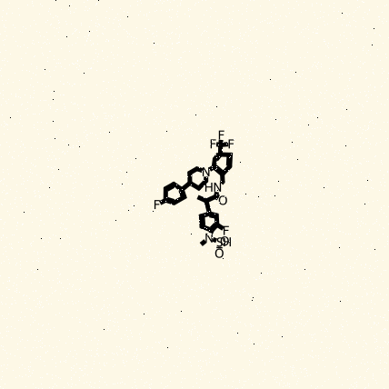 CC(C(=O)NCc1ccc(C(F)(F)F)cc1N1CCC(c2ccc(F)cc2)CC1)c1ccc(N(C)[SH](=O)=O)c(F)c1